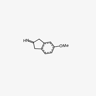 COc1ccc2c(c1)CC(=N)C2